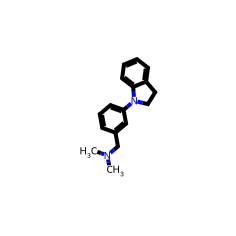 CN(C)Cc1cccc(N2CCc3ccccc32)c1